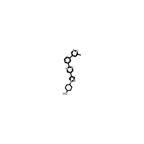 Cc1cc(-c2cccc(-c3ncc(-c4cnn(C5CCC(O)CC5)c4)cn3)c2)cnn1